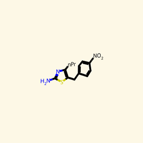 CCCc1nc(N)sc1Cc1ccc([N+](=O)[O-])cc1